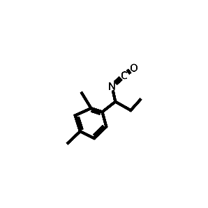 CCC(N=C=O)c1ccc(C)cc1C